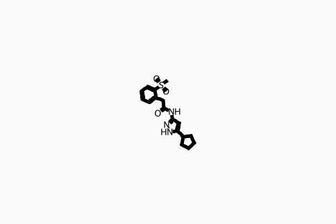 CS(=O)(=O)c1ccccc1CC(=O)Nc1cc([C]2CCCC2)[nH]n1